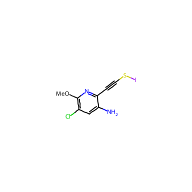 COc1nc(C#CSI)c(N)cc1Cl